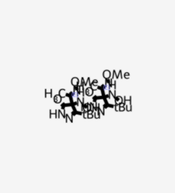 CO/N=C(\C)C1(NO)C(=O)NN=C1C(C)(C)C.CO/N=C(\C)C1(NO)C(=O)NN=C1C(C)(C)C